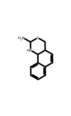 NC1NC2c3ccccc3C=CC2CS1